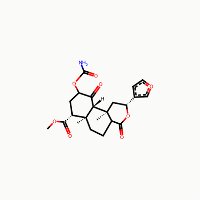 COC(=O)[C@@H]1CC(OC(N)=O)C(=O)[C@H]2[C@@]1(C)CCC1C(=O)O[C@@H](c3ccoc3)C[C@@]12C